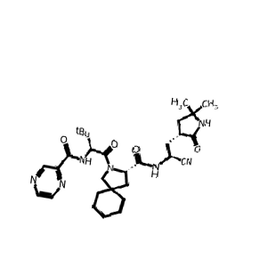 CC1(C)C[C@@H](C[C@@H](C#N)NC(=O)[C@@H]2CC3(CCCCC3)CN2C(=O)[C@@H](NC(=O)c2cnccn2)C(C)(C)C)C(=O)N1